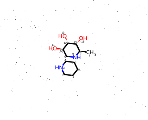 C1CCNCC1.C[C@H]1NC[C@@H](O)[C@H](O)[C@@H]1O